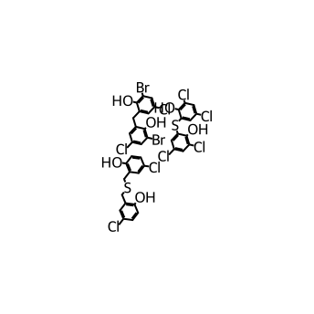 Oc1c(Br)cc(Cl)cc1Cc1cc(Cl)cc(Br)c1O.Oc1c(Cl)cc(Cl)cc1Sc1cc(Cl)cc(Cl)c1O.Oc1ccc(Cl)cc1CSCc1cc(Cl)ccc1O